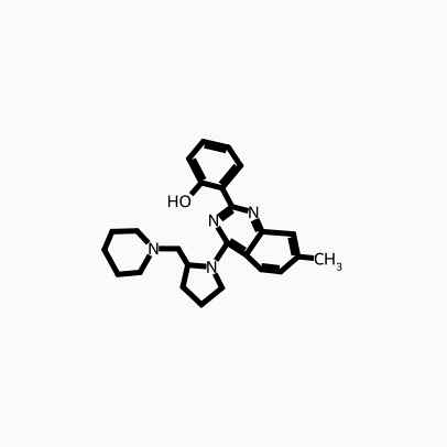 Cc1ccc2c(N3CCCC3CN3CCCCC3)nc(-c3ccccc3O)nc2c1